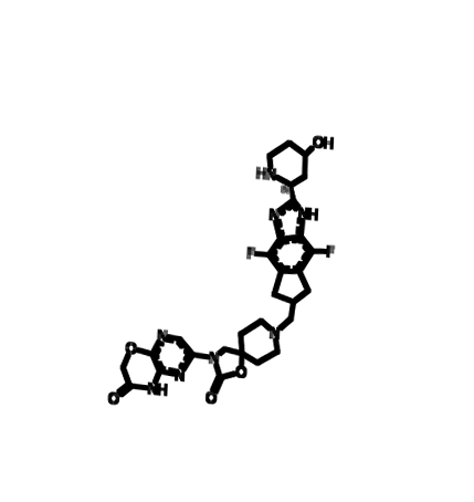 O=C1COc2ncc(N3CC4(CCN(CC5Cc6c(c(F)c7[nH]c([C@@H]8CC(O)CCN8)nc7c6F)C5)CC4)OC3=O)nc2N1